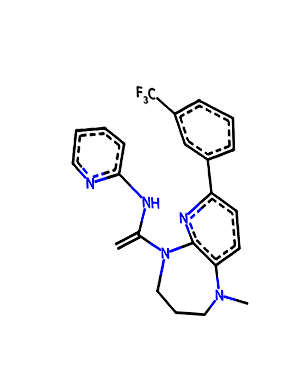 C=C(Nc1ccccn1)N1CCCN(C)c2ccc(-c3cccc(C(F)(F)F)c3)nc21